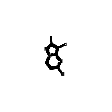 Cc1nn2ccc(Cl)nc2c1Cl